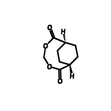 O=C1OCOC(=O)[C@H]2CC[C@H]1CC2